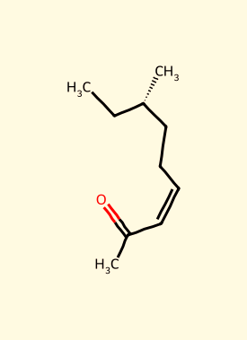 CC[C@H](C)CC/C=C\C(C)=O